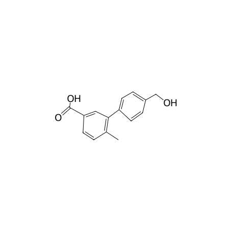 Cc1ccc(C(=O)O)cc1-c1ccc(CO)cc1